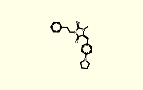 CN1C(=[Se])N(CCc2ccccc2)C(=O)C1=Cc1ccc(N2CCCC2)cc1